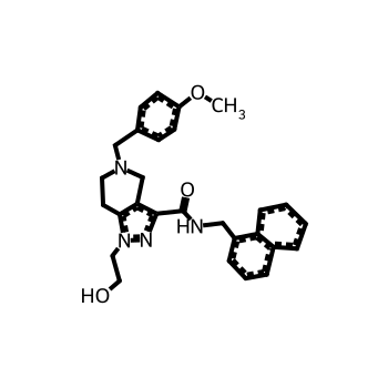 COc1ccc(CN2CCc3c(c(C(=O)NCc4cccc5ccccc45)nn3CCO)C2)cc1